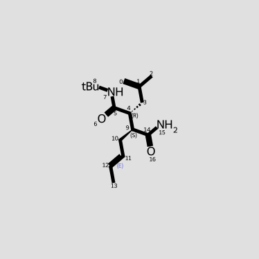 C=C(C)C[C@@H](C(=O)NC(C)(C)C)[C@H](C/C=C/C)C(N)=O